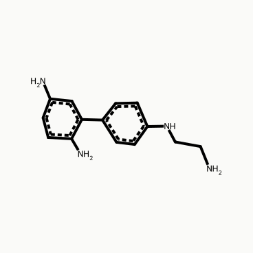 NCCNc1ccc(-c2cc(N)ccc2N)cc1